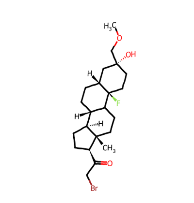 COC[C@@]1(O)CC[C@]2(F)C3CC[C@]4(C)[C@@H](C(=O)CBr)CC[C@H]4[C@@H]3CC[C@@H]2C1